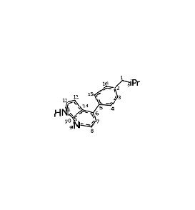 CC(C)Cc1ccc(-c2ccnc3[nH]ccc23)cc1